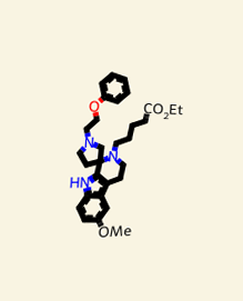 CCOC(=O)CCCCN1CCc2c([nH]c3ccc(OC)cc23)C12CCN(CCOc1ccccc1)C2